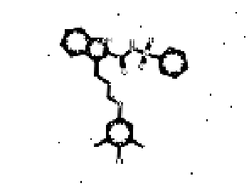 Cc1cc(OCCCc2c(C(=O)NS(=O)(=O)c3ccccc3)[nH]c3ccccc23)cc(C)c1Cl